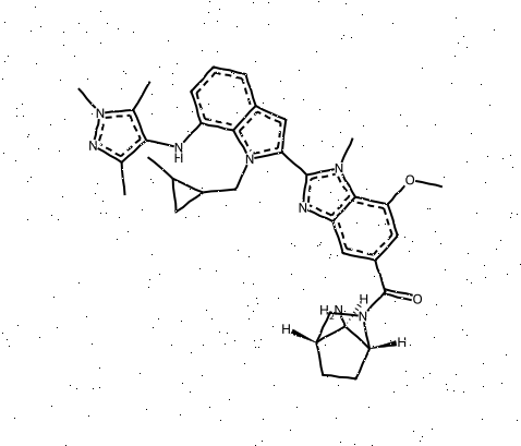 COc1cc(C(=O)N2C[C@H]3CC[C@@H]2[C@@H]3N)cc2nc(-c3cc4cccc(Nc5c(C)nn(C)c5C)c4n3CC3CC3C)n(C)c12